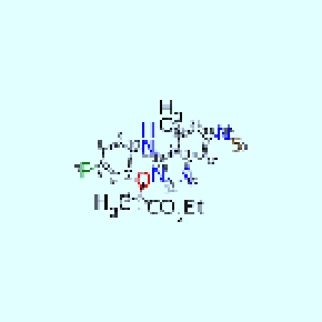 CCOC(=O)C(C)Oc1cc(F)ccc1Nc1ncnc2cc(N=S)cc(C)c12